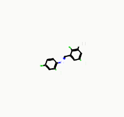 Cc1cc(Cl)cc(/C=N/c2ccc(Cl)cc2Cl)c1Cl